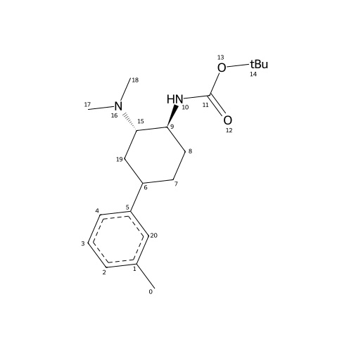 Cc1cccc(C2CC[C@H](NC(=O)OC(C)(C)C)[C@@H](N(C)C)C2)c1